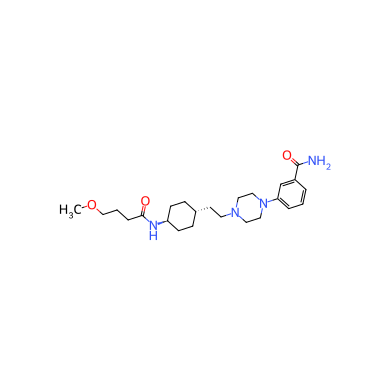 COCCCC(=O)N[C@H]1CC[C@H](CCN2CCN(c3cccc(C(N)=O)c3)CC2)CC1